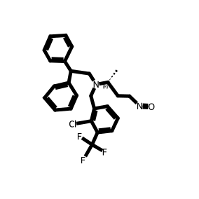 C[C@H](CCN=O)N(Cc1cccc(C(F)(F)F)c1Cl)CC(c1ccccc1)c1ccccc1